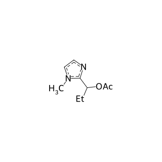 CCC(OC(C)=O)c1nccn1C